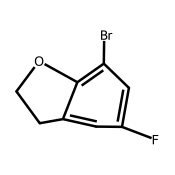 Fc1cc(Br)c2c(c1)CCO2